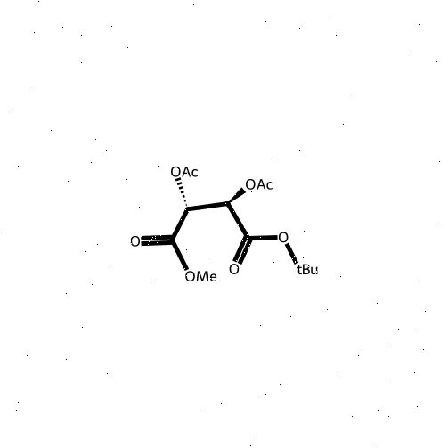 COC(=O)[C@H](OC(C)=O)[C@@H](OC(C)=O)C(=O)OC(C)(C)C